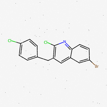 Clc1ccc(Cc2cc3cc(Br)ccc3nc2Cl)cc1